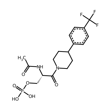 CC(=O)N[C@@H](COP(=O)(O)O)C(=O)N1CCC(c2ccc(C(F)(F)F)cc2)CC1